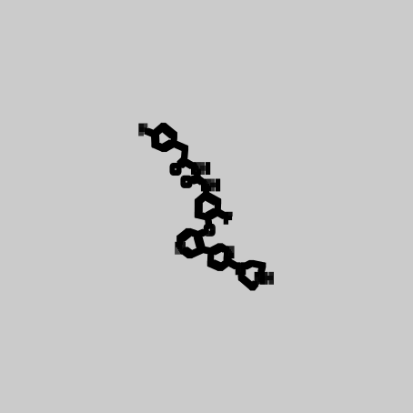 O=C(Cc1ccc(F)cc1)NC(=O)Nc1ccc(Oc2ccncc2-c2ccc(N3CCNCC3)nc2)c(F)c1